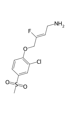 CS(=O)(=O)c1ccc(OCC(F)=CCN)c(Cl)c1